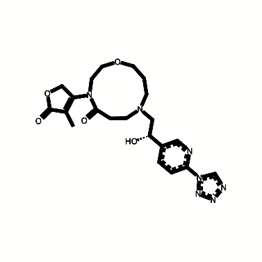 CC1=C(N2CCOCCCN(C[C@@H](O)c3ccc(-n4cnnn4)nc3)CCC2=O)COC1=O